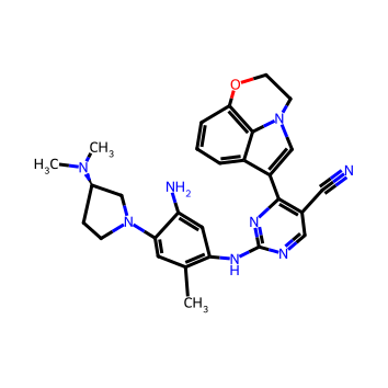 Cc1cc(N2CC[C@@H](N(C)C)C2)c(N)cc1Nc1ncc(C#N)c(-c2cn3c4c(cccc24)OCC3)n1